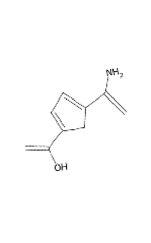 C=C(N)C1=CC=C(C(=C)O)C1